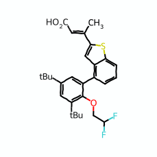 CC(=CC(=O)O)c1cc2c(-c3cc(C(C)(C)C)cc(C(C)(C)C)c3OCC(F)F)cccc2s1